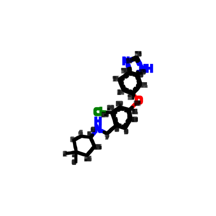 CC1(C)CCC(NCc2ccc(Oc3ccc4nc[nH]c4c3)cc2Cl)CC1